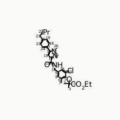 CCOC(=O)C(C)(C)Oc1c(C)cc(CNC(=O)c2cc(-c3ccc(CC(C)C)cc3)n(C)n2)cc1Cl